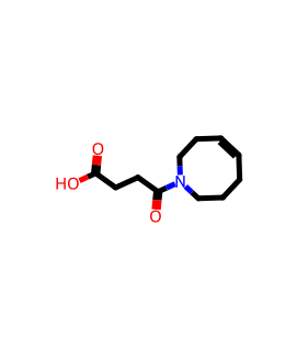 O=C(O)CCC(=O)N1CC/C=C\CCC1